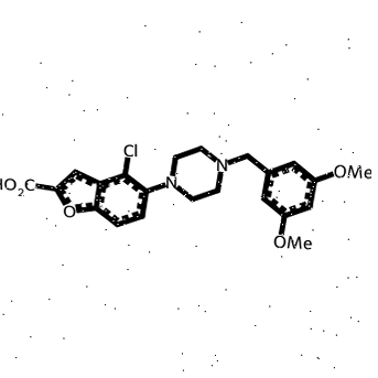 COc1cc(CN2CCN(c3ccc4oc(C(=O)O)cc4c3Cl)CC2)cc(OC)c1